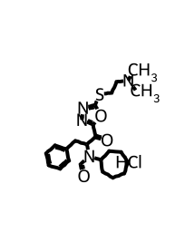 CN(C)CCSc1nnc(C(=O)C(Cc2ccccc2)N(C=O)C2CCCCCC2)o1.Cl